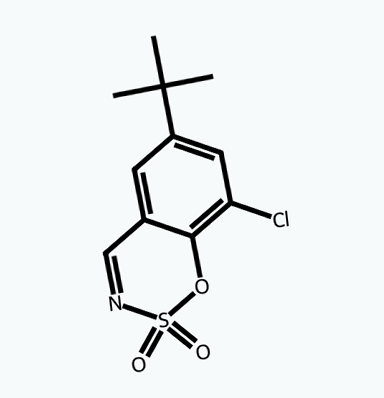 CC(C)(C)c1cc(Cl)c2c(c1)C=NS(=O)(=O)O2